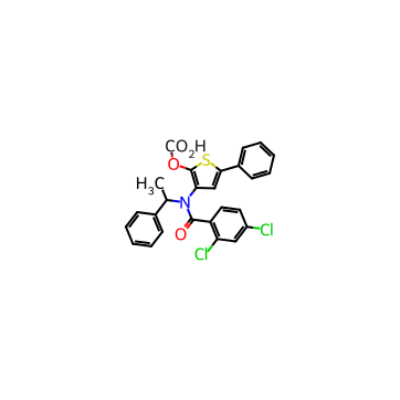 CC(c1ccccc1)N(C(=O)c1ccc(Cl)cc1Cl)c1cc(-c2ccccc2)sc1OC(=O)O